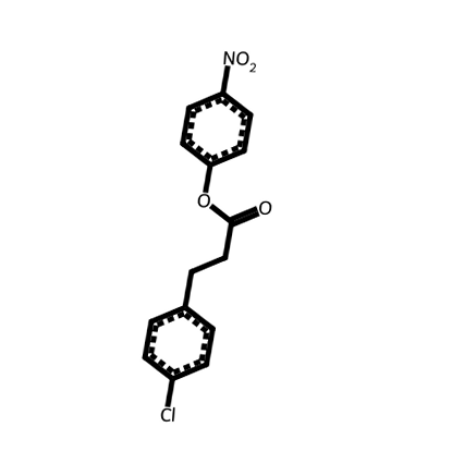 O=C(CCc1ccc(Cl)cc1)Oc1ccc([N+](=O)[O-])cc1